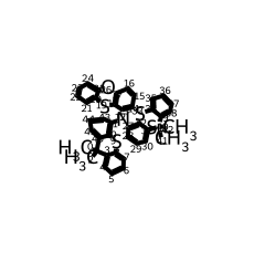 CC1(C)c2ccccc2Sc2c(N(c3cccc4c3Sc3ccccc3O4)c3cccc4c3Sc3ccccc3[Si]4(C)C)cccc21